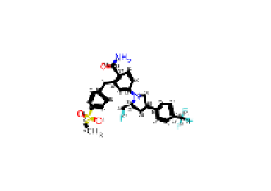 CCS(=O)(=O)c1ccc(Cc2cc(N3CC(c4ccc(C(F)(F)F)cc4)C[C@H]3CF)ccc2C(N)=O)cc1